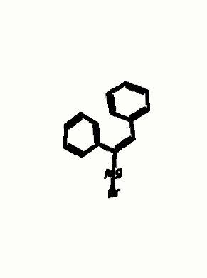 [Br][Mg]/[C](=C/c1ccccc1)c1ccccc1